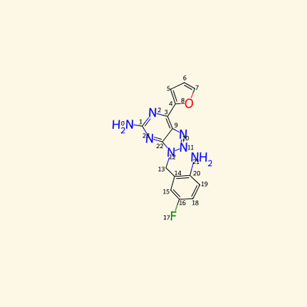 Nc1nc(-c2ccco2)c2nnn(Cc3cc(F)ccc3N)c2n1